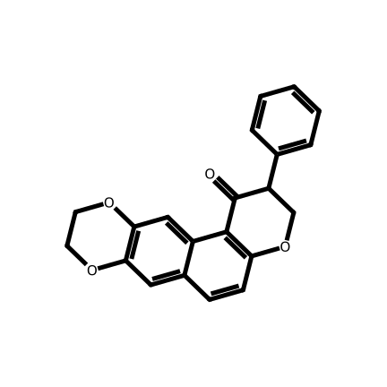 O=C1c2c(ccc3cc4c(cc23)OCCO4)OCC1c1ccccc1